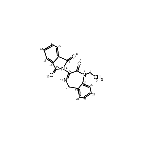 CCN1C(=O)C(N2C(=O)c3ccccc3C2=O)=NCc2ccccc21